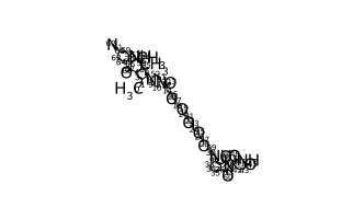 CCc1cc2c(cc1N1CCN(C(=O)CCOCCOCCOCCOCCOCCNc3cccc4c3C(=O)N(C3CCC(=O)NC3=O)C4=O)CC1)C(C)(C)c1[nH]c3cc(C#N)ccc3c1C2=O